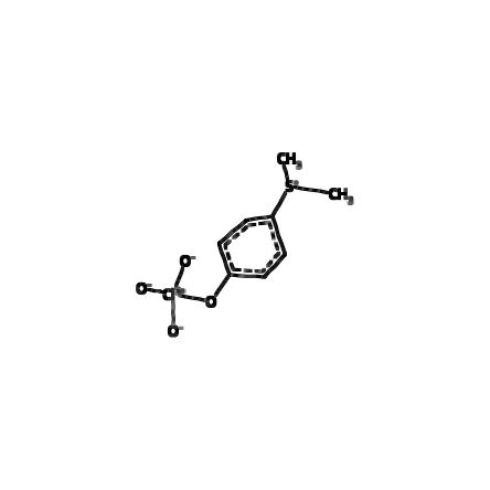 C[S+](C)c1ccc(O[Cl+3]([O-])([O-])[O-])cc1